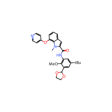 COc1c(NC(=O)c2cc3cccc(Oc4ccncc4)c3n2C)cc(C(C)(C)C)cc1C1OCCO1